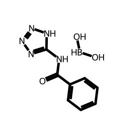 O=C(Nc1nnn[nH]1)c1ccccc1.OBO